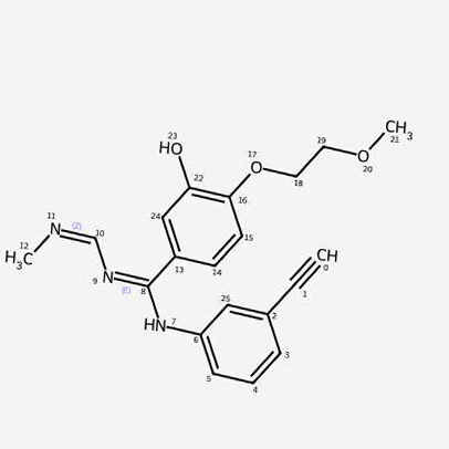 C#Cc1cccc(N/C(=N/C=N\C)c2ccc(OCCOC)c(O)c2)c1